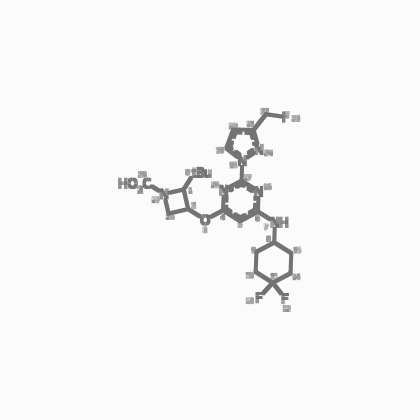 CC(C)(C)C1C(Oc2cc(NC3CCC(F)(F)CC3)nc(-n3ccc(CF)n3)n2)CN1C(=O)O